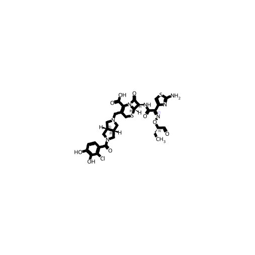 CC[C@@H](C=O)O/N=C(\C(=O)N[C@@H]1C(=O)N2C(C(=O)O)=C(CN3C[C@@H]4CN(C(=O)c5ccc(O)c(O)c5Cl)C[C@@H]4C3)CS[C@H]12)c1csc(N)n1